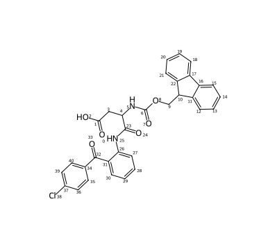 O=C(O)CC(NC(=O)OCC1c2ccccc2-c2ccccc21)C(=O)Nc1ccccc1C(=O)c1ccc(Cl)cc1